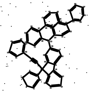 C(#CC1(C2=CCCC=C2)c2ccccc2-c2ccc(N(c3ccc(-c4ccccc4)cc3)c3ccccc3-c3ccccc3)cc21)c1ccccc1